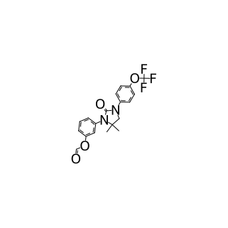 CC1(C)CN(c2ccc(OC(F)(F)F)cc2)C(=O)N1c1cccc(OC=O)c1